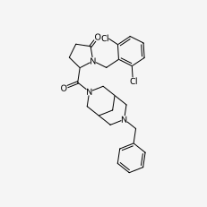 O=C(C1CCC(=O)N1Cc1c(Cl)cccc1Cl)N1CC2CC(CN(Cc3ccccc3)C2)C1